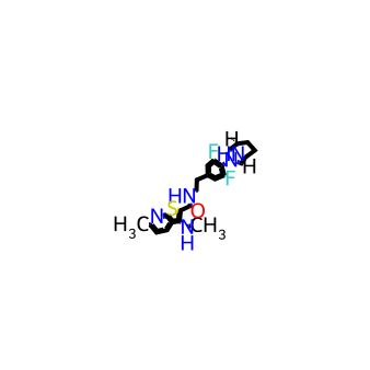 CNc1c(C(=O)NCCc2cc(F)c(N3C[C@H]4CC[C@@H](C3)N4)c(F)c2)sc2nc(C)ccc12